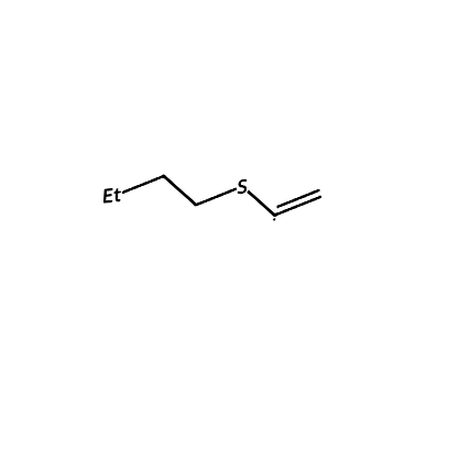 C=[C]SCCCC